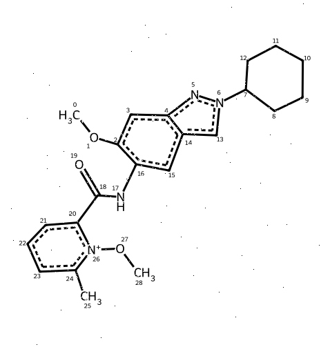 COc1cc2nn(C3CCCCC3)cc2cc1NC(=O)c1cccc(C)[n+]1OC